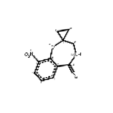 O=[N+]([O-])c1cccc2c1OC1(CC1)CNC2=S